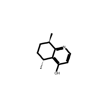 C[C@@H]1CC[C@@H](C)c2c(O)ccnc21